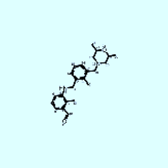 Cc1c(CNc2cccc(C=O)c2C)cccc1CN1CC(C)OC(C)C1